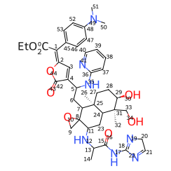 CCOC(=O)/C(=C1/C=C(C(CC2C3(CO3)C(NC(C)C(=O)NC3=NCC=N3)CC3[C@]2(C)CC[C@@H](O)[C@@]3(C)CO)Nc2ccccn2)C(=O)O1)c1ccc(N(C)C)cc1